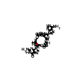 Nc1nc2c(ncn2C2O[C@@H]3COP(=O)(O)O[C@H]4C[C@H](n5cnc6c(N)ncnc65)O[C@@H]4CNS(=O)(=O)O[C@@H]2[C@@H]3O)c(=O)[nH]1